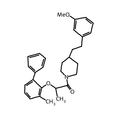 COc1cccc(CCC2CCN(C(=O)C(C)Oc3c(C)cccc3-c3ccccc3)CC2)c1